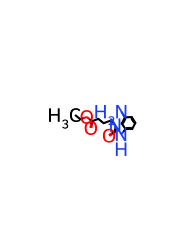 CCOC(=O)CCCn1c(=O)[nH]c2cccc(N)c21